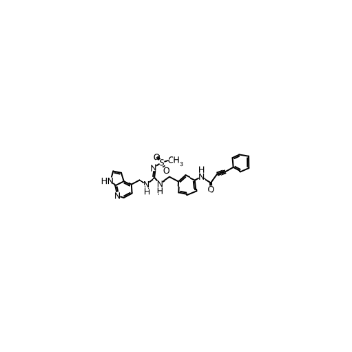 CS(=O)(=O)N=C(NCc1cccc(NC(=O)C#Cc2ccccc2)c1)NCc1ccnc2[nH]ccc12